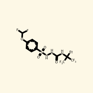 CCC(NC(=O)NNS(=O)(=O)c1ccc(OC(F)F)cc1)(C(F)(F)F)C(F)(F)F